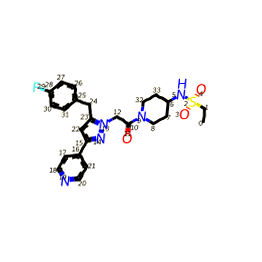 CCS(=O)(=O)NC1CCN(C(=O)Cn2nc(-c3ccncc3)cc2Cc2ccc(F)cc2)CC1